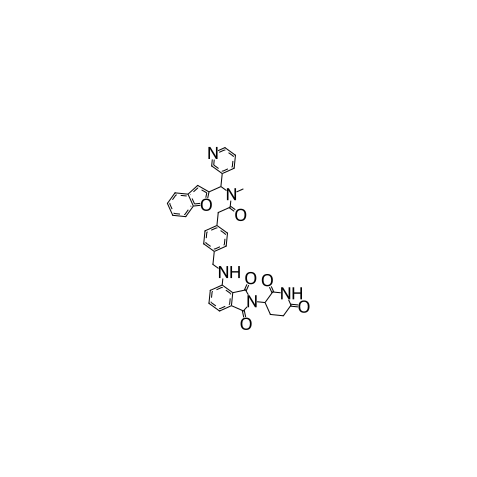 CN(C(=O)Cc1ccc(CNc2cccc3c2C(=O)N(C2CCC(=O)NC2=O)C3=O)cc1)C(c1cccnc1)c1cc2ccccc2o1